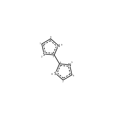 [c]1csc(-c2nccs2)n1